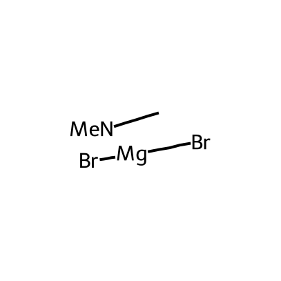 CNC.[Br][Mg][Br]